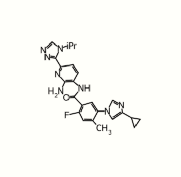 Cc1cc(F)c(C(=O)Nc2ccc(-c3nncn3C(C)C)nc2N)cc1-n1cnc(C2CC2)c1